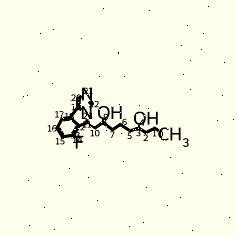 CCC[C@@H](O)CCC[C@H](O)C[C@H]1c2c(F)cccc2-c2cncn21